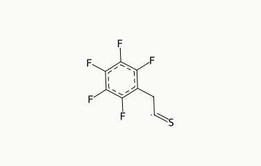 Fc1c(F)c(F)c(C[C]=S)c(F)c1F